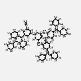 N#Cc1cc(-c2cc3c4c(c2)Oc2cc(N(c5ccccc5)c5ccccc5)ccc2B4c2ccc(N(c4ccccc4)c4ccccc4)cc2O3)cc(-c2c3ccccc3c(-c3ccccc3)c3ccccc23)c1